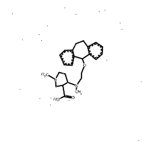 CN1CCC(N(C)CCOC2c3ccccc3CCc3ccccc32)C(C(=O)O)C1